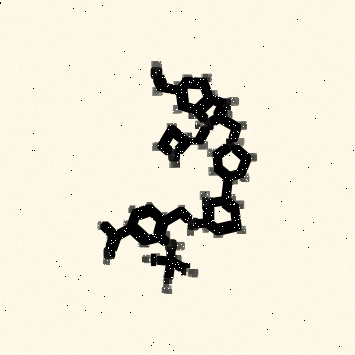 CC(=O)c1ccc(COc2cccc(C3CCN(Cc4nc5ccc(C=O)cc5n4C[C@@H]4CCO4)CC3)n2)c(OC(F)(F)F)c1